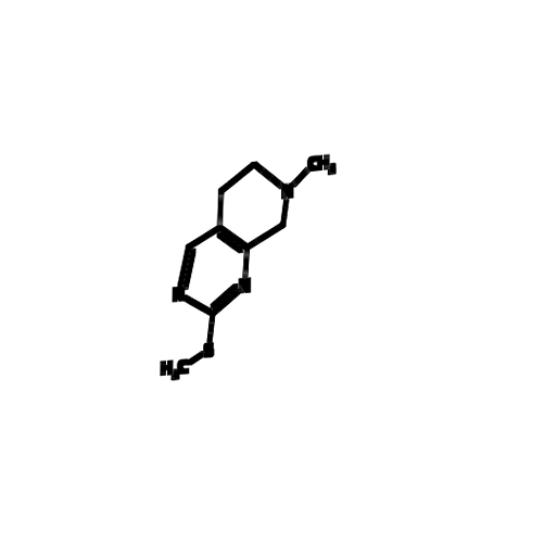 CSc1ncc2c(n1)CN(C)CC2